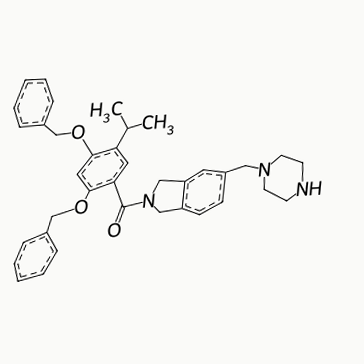 CC(C)c1cc(C(=O)N2Cc3ccc(CN4CCNCC4)cc3C2)c(OCc2ccccc2)cc1OCc1ccccc1